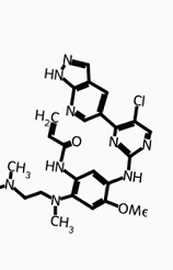 C=CC(=O)Nc1cc(Nc2ncc(Cl)c(-c3cnc4[nH]ncc4c3)n2)c(OC)cc1N(C)CCN(C)C